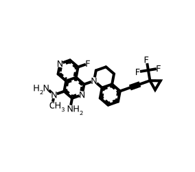 CN(N)c1c(N)nc(N2CCCc3c(C#CC4(C(F)(F)F)CC4)cccc32)c2c(F)cncc12